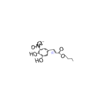 CCCCOC(=O)/C=C/c1cc(O)c(O)c([N+](=O)[O-])c1